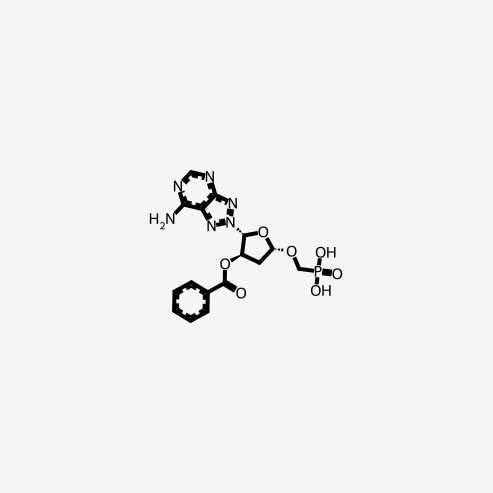 Nc1ncnc2nn([C@@H]3O[C@H](OCP(=O)(O)O)C[C@H]3OC(=O)c3ccccc3)nc12